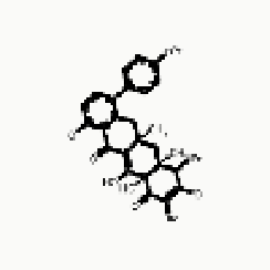 CCCc1ccc(-c2ccc(O)c3c2C[C@]2(C)C[C@]4(C)C(C(C)C)C(O)=C(C(C)=O)C(=O)[C@]4(O)C(O)=C2C3=O)cc1